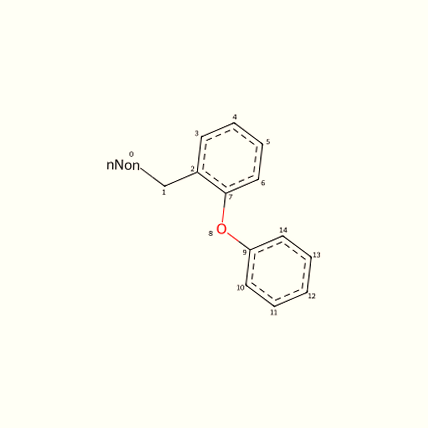 CCCCCCCCCCc1ccccc1Oc1ccccc1